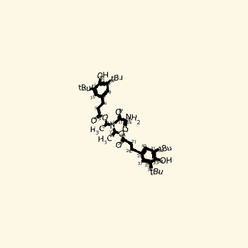 CC(OC(=O)CCc1cc(C(C)(C)C)c(O)c(C(C)(C)C)c1)N(C(=O)C(N)=O)C(C)OC(=O)CCc1cc(C(C)(C)C)c(O)c(C(C)(C)C)c1